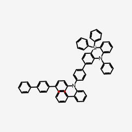 c1ccc(-c2ccc(-c3ccc(N(c4ccc(-c5ccc6c(c5)N(c5ccccc5)c5ccccc5[Si]6(c5ccccc5)c5ccccc5)cc4)c4ccccc4-c4ccccc4)cc3)cc2)cc1